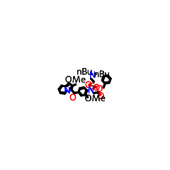 CCCCN(CCCC)CCS(=O)(=O)N(CC(=O)OCc1ccccc1)c1ccc(C(=O)c2c(C)c(OC)c3ccccn23)cc1OC